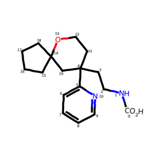 O=C(O)NCCC1(c2ccccn2)CCOC2(CCCC2)C1